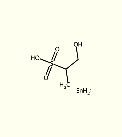 CC(CO)S(=O)(=O)O.[SnH2]